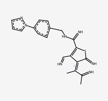 CC(=N)/C(C)=C1\C(=N)SC(C(=N)NCc2ccc(-n3cccn3)cc2)=C1C=N